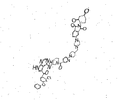 O=C1CCC(N2C(=O)c3ccc(N4CCN(CC5CCN(c6ccc(C(=O)N7CCC[C@@H](Nc8ncnc9[nH]cc(C(=O)c%10ccc(Oc%11ccccc%11)cc%10Cl)c89)C7)cn6)CC5)CC4)cc3C2=O)C(=O)C1